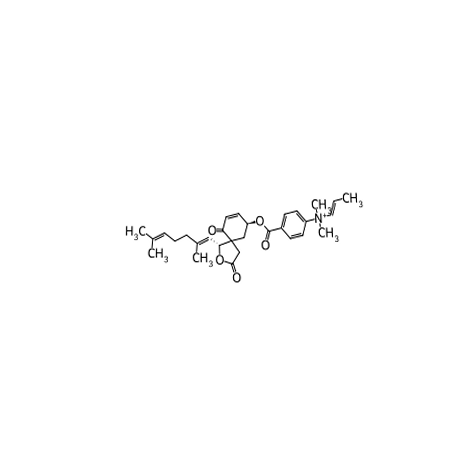 C/C=C/[N+](C)(C)c1ccc(C(=O)O[C@@H]2C=CC(=O)C3(CC(=O)O[C@@H]3/C=C(\C)CCC=C(C)C)C2)cc1